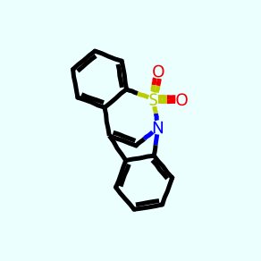 O=S1(=O)c2ccccc2-c2cn1c1ccccc21